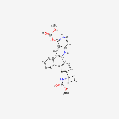 CC(C)(C)OC(=O)NC1(c2ccc(-c3nc4ccnc(OC(=O)OC(C)(C)C)c4cc3-c3ccccc3)cc2)CCC1